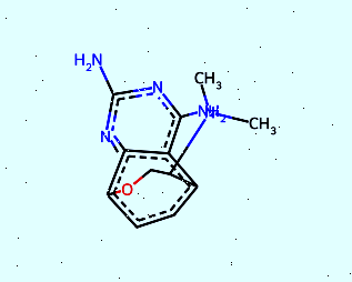 CN(C)C1COc2ccc1c1c(N)nc(N)nc21